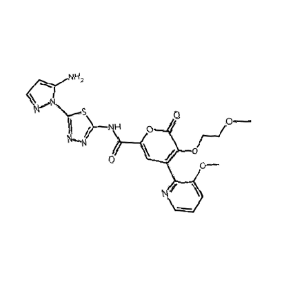 COCCOc1c(-c2ncccc2OC)cc(C(=O)Nc2nnc(-n3nccc3N)s2)oc1=O